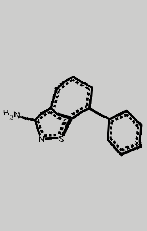 Nc1nsc2c(-c3ccccc3)cccc12